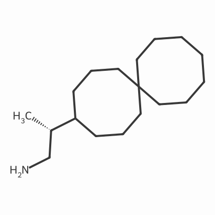 C[C@@H](CN)C1CCCC2(CCCCCCC2)CCC1